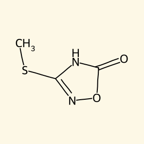 CSc1noc(=O)[nH]1